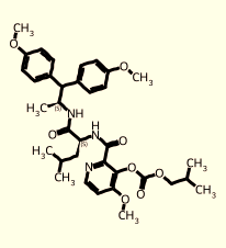 COc1ccc(C(c2ccc(OC)cc2)[C@H](C)NC(=O)[C@H](CC(C)C)NC(=O)c2nccc(OC)c2OC(=O)OCC(C)C)cc1